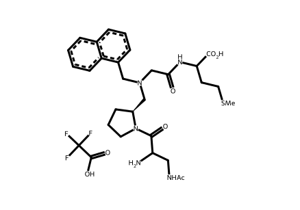 CSCCC(NC(=O)CN(Cc1cccc2ccccc12)C[C@@H]1CCCN1C(=O)C(N)CNC(C)=O)C(=O)O.O=C(O)C(F)(F)F